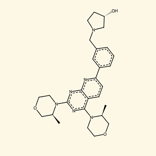 C[C@H]1COCCN1c1nc(N2CCOC[C@@H]2C)c2ccc(-c3cccc(CN4CC[C@H](O)C4)c3)nc2n1